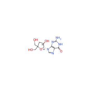 Nc1nc2c(ncn2[C@@H]2OC(CO)(CO)C[C@H]2O)c(=O)[nH]1